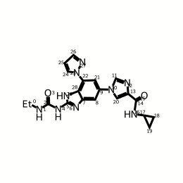 CCNC(=O)Nc1nc2cc(-n3cnc(C(=O)NC4CC4)c3)cc(-n3cccn3)c2[nH]1